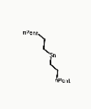 CCCCCC[CH2][Sn][CH2]CCCCCC